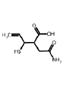 C=CC(S)C(CC(N)=O)C(=O)O